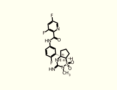 CN1C(=N)N[C@@]2(c3cc(NC(=O)c4ncc(F)cc4F)ccc3F)CCC[C@H]2S1(=O)=O